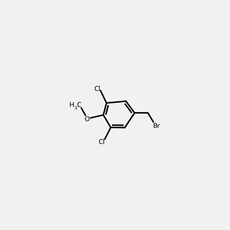 COc1c(Cl)cc(CBr)cc1Cl